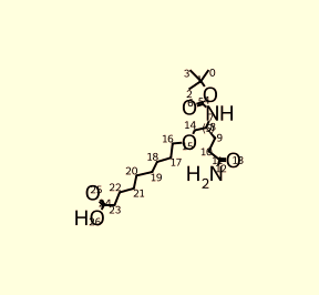 CC(C)(C)OC(=O)N[C@@H](CCC(N)=O)COCCCCCCCCC(=O)O